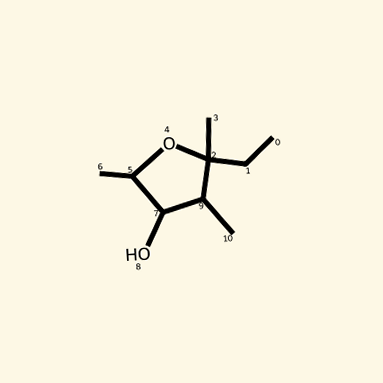 CCC1(C)OC(C)C(O)C1C